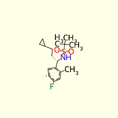 Cc1cc(F)[c]cc1[C@H](CCC1CC1)NS(=O)(=O)C(C)(C)C